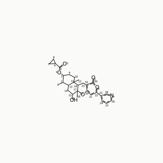 CC1C(OC(=O)C2CC2)CCC2(C)C1CC(O)C1(C)Oc3cc(-c4cccnc4)oc(=O)c3CC21